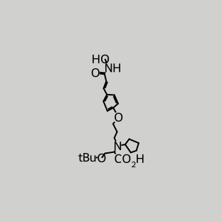 CC(C)(C)OCC(C(=O)O)N(CCCOc1ccc(C=CC(=O)NO)cc1)C1CCCC1